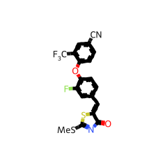 CSC1=NC(=O)C(=Cc2ccc(Oc3ccc(C#N)cc3C(F)(F)F)c(F)c2)S1